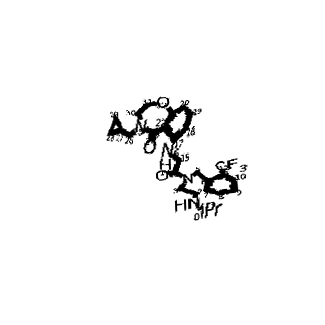 CC(C)NCCN(Cc1ccccc1C(F)(F)F)C(=O)CNc1cccc2c1C(=O)N(CC1CC1)CCO2